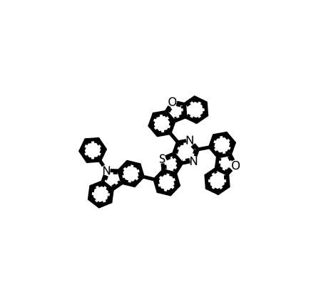 c1ccc(-n2c3ccccc3c3cc(-c4cccc5c4sc4c(-c6cccc7oc8ccccc8c67)nc(-c6cccc7oc8ccccc8c67)nc45)ccc32)cc1